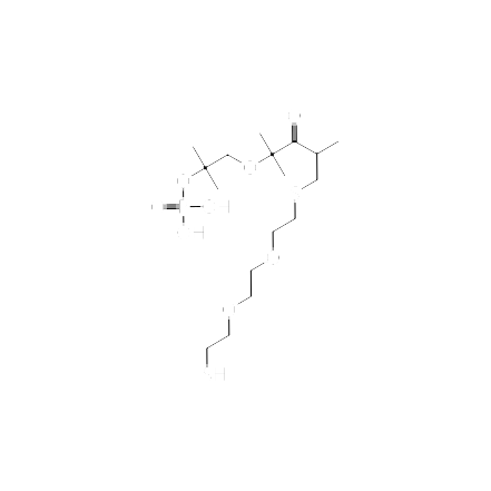 CC(CSCCOCCOCCS)C(=O)C(C)(C)OCC(C)(C)OP(=O)(O)O